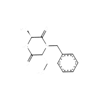 CC[C@@H]1C(=O)N[C@@H](C)C(=O)N1Cc1ccccc1